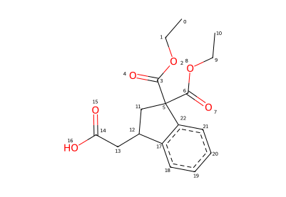 CCOC(=O)C1(C(=O)OCC)CC(CC(=O)O)c2ccccc21